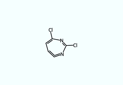 ClC1=CC=C=NC(Cl)=N1